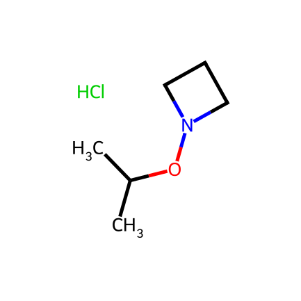 CC(C)ON1CCC1.Cl